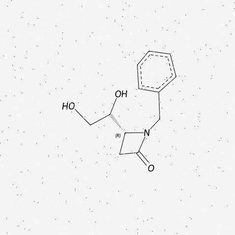 O=C1C[C@H](C(O)CO)N1Cc1ccccc1